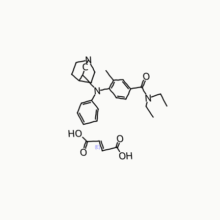 CCN(CC)C(=O)c1ccc(N(c2ccccc2)C2CN3CCC2CC3)c(C)c1.O=C(O)/C=C/C(=O)O